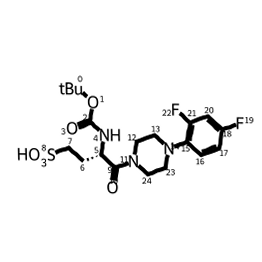 CC(C)(C)OC(=O)N[C@@H](CCS(=O)(=O)O)C(=O)N1CCN(c2ccc(F)cc2F)CC1